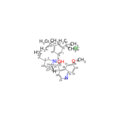 C=CC1C[N+]2(Cc3cc(C(C)(C)C)cc(C(C)(C)C)c3)CCC1C[C@H]2C(O)c1ccnc2ccc(OC)cc12.[Br-]